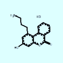 Cl.NCCCc1cc(O)cc2oc(=O)c3ccccc3c12